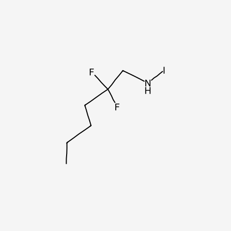 CCCCC(F)(F)CNI